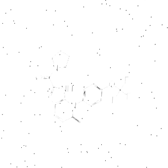 C=C1C=Cc2cc(C(=O)N3CCCC3)[nH]c2N1c1ccc(OC(F)(F)F)cc1